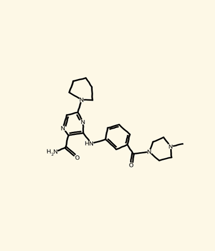 CN1CCN(C(=O)c2cccc(Nc3nc(N4CCCCC4)cnc3C(N)=O)c2)CC1